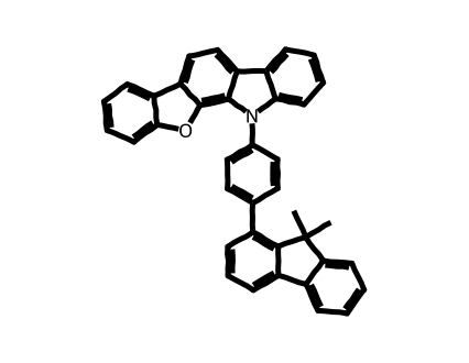 CC1(C)c2ccccc2-c2cccc(-c3ccc(-n4c5ccccc5c5ccc6c7ccccc7oc6c54)cc3)c21